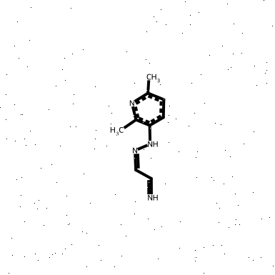 Cc1ccc(N/N=C\C=N)c(C)n1